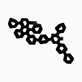 C=C1CCC(C2C=CC=CC2)=C2c3ccccc3C(c3cccc(-c4ccc(C5CC(c6ccc(-c7ccccc7)cc6)NC(c6ccccc6)=N5)cc4)c3)=C(c3ccccc3)N12